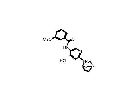 COc1cccc(C(=O)Nc2cnc(N3CCN4CCC3CC4)nc2)c1.Cl